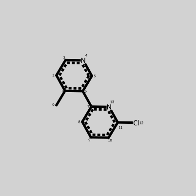 Cc1ccncc1-c1[c]ccc(Cl)n1